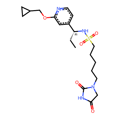 CC[C@@H](NS(=O)(=O)CCCCCN1CC(=O)NC1=O)c1ccnc(OCC2CC2)c1